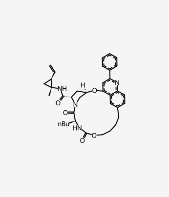 C=C[C@@H]1C[C@@]1(C)NC(=O)[C@@H]1C[C@@H]2CN1C(=O)[C@H](CCCC)NC(=O)OCCCCc1ccc3nc(-c4ccccc4)cc(c3c1)O2